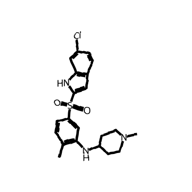 Cc1ccc(S(=O)(=O)c2cc3ccc(Cl)cc3[nH]2)cc1NC1CCN(C)CC1